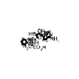 C[C@H](N[P@](=O)(OC[C@H]1O[C@@](C#N)(c2ccc3c(N)ncnn23)[C@H](O)[C@@H]1O)Oc1ccccc1)C(=O)O